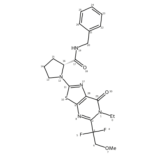 CCn1c(C(F)(F)COC)nc2sc(N3CCC[C@@H]3C(=O)NCc3ccccc3)nc2c1=O